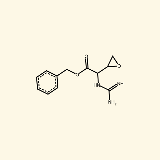 N=C(N)NC(C(=O)OCc1ccccc1)C1CO1